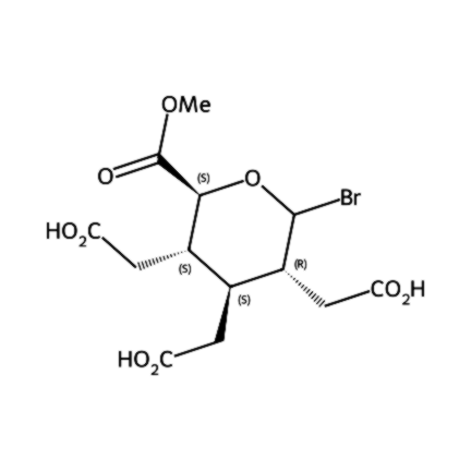 COC(=O)[C@H]1OC(Br)[C@H](CC(=O)O)[C@@H](CC(=O)O)[C@@H]1CC(=O)O